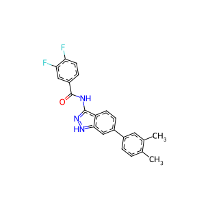 Cc1ccc(-c2ccc3c(NC(=O)c4ccc(F)c(F)c4)n[nH]c3c2)cc1C